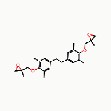 Cc1cc(CCc2cc(C)c(OCC3(C)CO3)c(C)c2)cc(C)c1OCC1(C)CO1